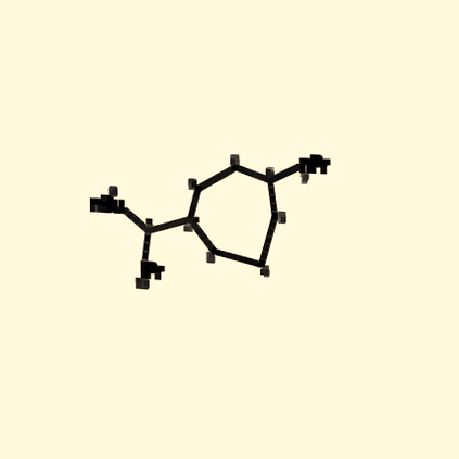 [CH2]CCCC([C]1CCCC(CCC)CC1)C(C)C